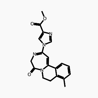 COC(=O)c1cn(C2=NCC(=O)N3CCc4c(C)cccc4C3=C2)cn1